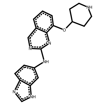 c1cc(OC2CCNCC2)c2nc(Nc3ccc4nc[nH]c4c3)ncc2c1